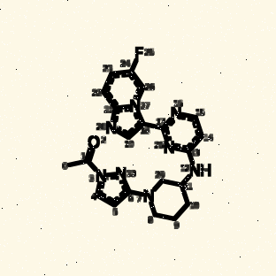 CC(=O)n1ccc(N2CCCC(Nc3ccnc(-c4cnc5ccc(F)cn45)n3)C2)n1